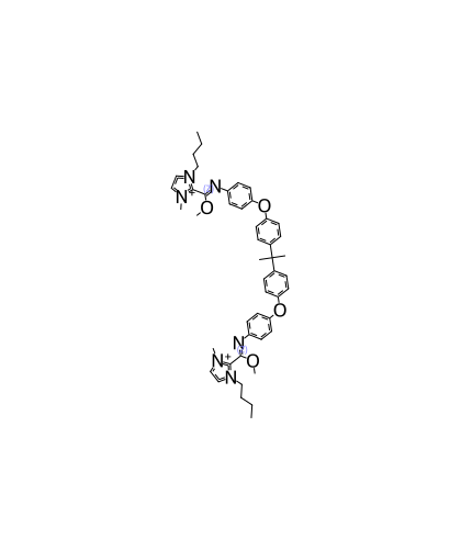 CCCCn1cc[n+](C)c1/C(=N/c1ccc(Oc2ccc(C(C)(C)c3ccc(Oc4ccc(/N=C(\OC)c5n(CCCC)cc[n+]5C)cc4)cc3)cc2)cc1)OC